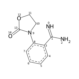 N=C(N)c1ccccc1N1CCOC1=O